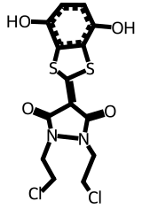 O=C1C(=C2Sc3c(O)ccc(O)c3S2)C(=O)N(CCCl)N1CCCl